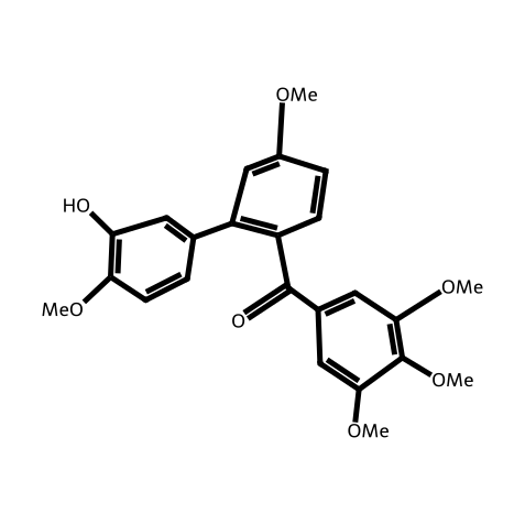 COc1ccc(C(=O)c2cc(OC)c(OC)c(OC)c2)c(-c2ccc(OC)c(O)c2)c1